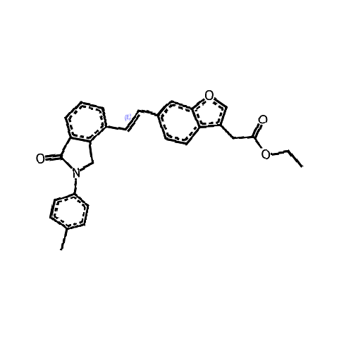 CCOC(=O)Cc1coc2cc(/C=C/c3cccc4c3CN(c3ccc(C)cc3)C4=O)ccc12